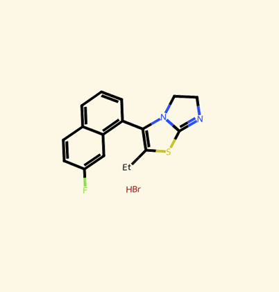 Br.CCC1=C(c2cccc3ccc(F)cc23)N2CCN=C2S1